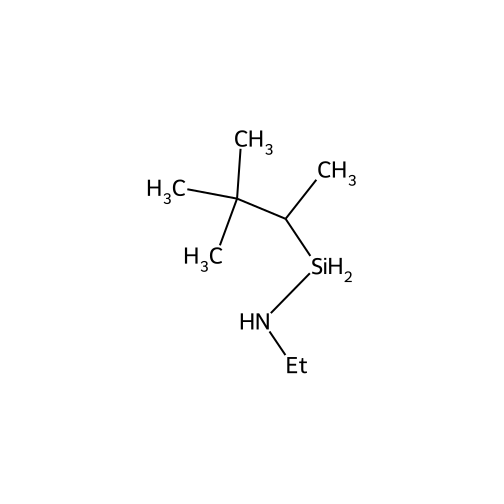 CCN[SiH2]C(C)C(C)(C)C